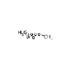 CCCCCc1ccc(-c2ccc(-c3ccc(CCCCC)c(Br)c3-c3ccccc3)cc2)cc1